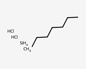 C.CCCCCCC.Cl.Cl.[SiH4]